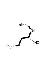 CCCCCN[C@H]([C]=O)CCC(=O)O